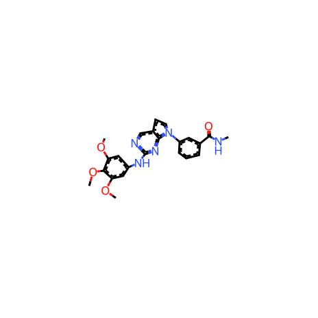 CNC(=O)c1cccc(-n2ccc3cnc(Nc4cc(OC)c(OC)c(OC)c4)nc32)c1